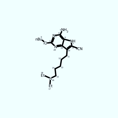 CCCCOc1nc(N)c2[nH]c(C#N)c(CCCCCN(CC)CC)c2n1